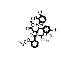 CCOC(=O)c1nc(-c2ccccc2OC)n(C(C)C)c1C(Nc1cccc(Cl)c1F)c1ccc(Cl)cc1